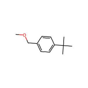 COCc1ccc(C(C)(C)C)cc1